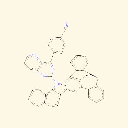 N#Cc1ccc(-c2nc(-n3c4c5c6c(cc4c4ccc7ccccc7c43)-c3ccccc3C(CC6)c3ccccc3-5)nc3cccnc23)cc1